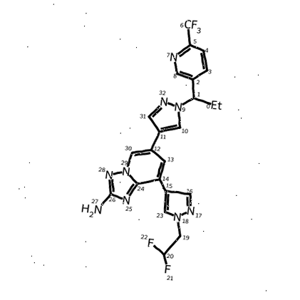 CCC(c1ccc(C(F)(F)F)nc1)n1cc(-c2cc(-c3cnn(CC(F)F)c3)c3nc(N)nn3c2)cn1